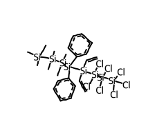 C=C[Si](C=C)([Si](Cl)(Cl)[Si](Cl)(Cl)[Si](Cl)(Cl)Cl)[Si](c1ccccc1)(c1ccccc1)[Si](C)(C)[Si](C)(C)[Si](C)(C)C